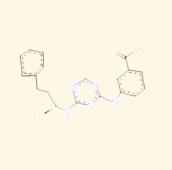 CNC(=O)c1cccc(Nc2ncnc(N[C@@H](C)CCc3ccccc3)n2)c1